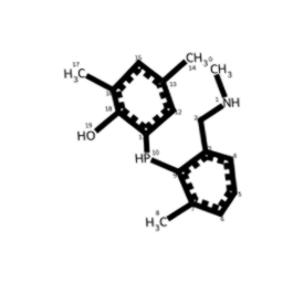 CNCc1cccc(C)c1Pc1cc(C)cc(C)c1O